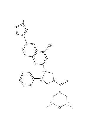 C[C@@H]1CN(C(=O)N2C[C@@H](c3ccccc3)[C@H](c3nc(O)c4cc(-c5cn[nH]c5)ccc4n3)C2)C[C@H](C)O1